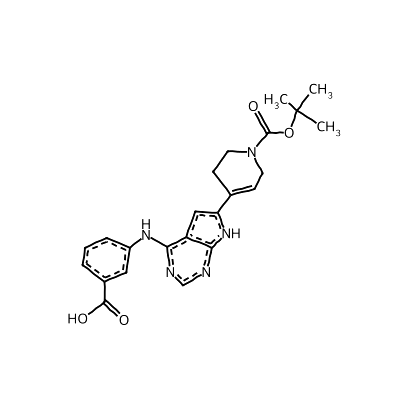 CC(C)(C)OC(=O)N1CC=C(c2cc3c(Nc4cccc(C(=O)O)c4)ncnc3[nH]2)CC1